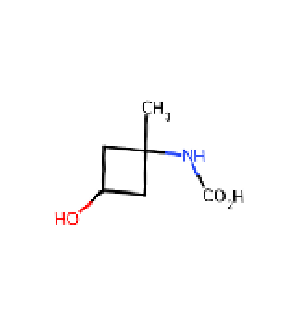 CC1(NC(=O)O)CC(O)C1